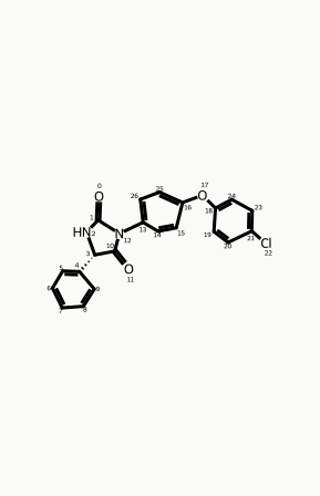 O=C1N[C@@H](c2ccccc2)C(=O)N1c1ccc(Oc2ccc(Cl)cc2)cc1